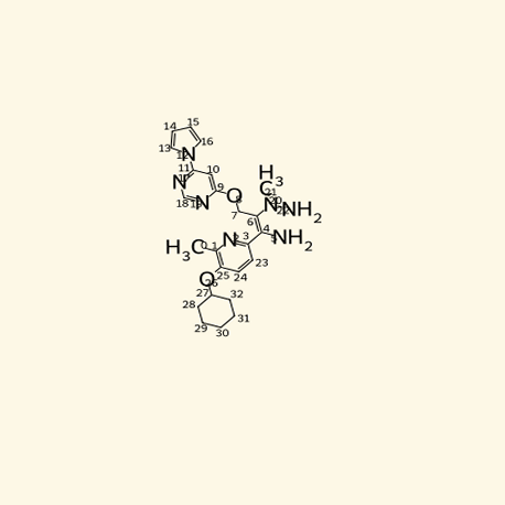 Cc1nc(/C(N)=C(\COc2cc(-n3cccc3)ncn2)N(C)N)ccc1OC1CCCCC1